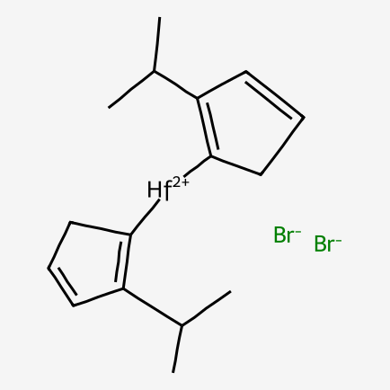 CC(C)C1=[C]([Hf+2][C]2=C(C(C)C)C=CC2)CC=C1.[Br-].[Br-]